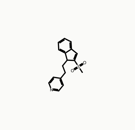 CS(=O)(=O)C1=Cc2ccccc2C1CCc1ccncc1